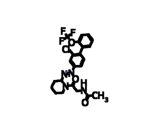 CC(=O)NCC(=O)N1CCCCC1/N=N/c1ccc(-c2ccccc2OC(F)(F)F)c(Cl)c1